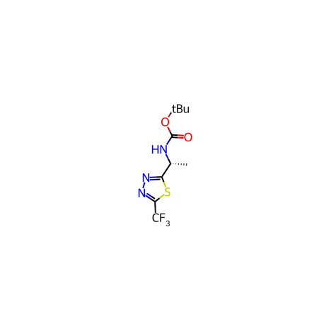 C[C@@H](NC(=O)OC(C)(C)C)c1nnc(C(F)(F)F)s1